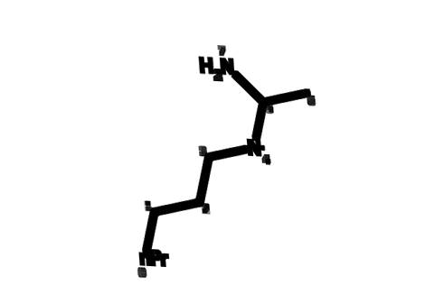 CCCCCC[N]C(C)N